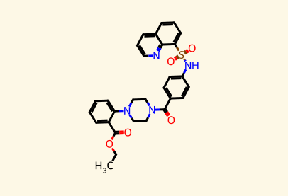 CCOC(=O)c1ccccc1N1CCN(C(=O)c2ccc(NS(=O)(=O)c3cccc4cccnc34)cc2)CC1